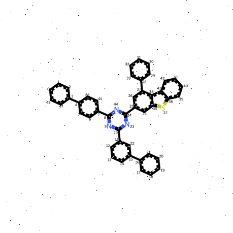 c1ccc(-c2ccc(-c3nc(-c4cccc(-c5ccccc5)c4)nc(-c4cc(-c5ccccc5)c5c(c4)sc4ccccc45)n3)cc2)cc1